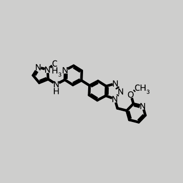 COc1ncccc1Cn1nnc2cc(-c3ccnc(Nc4ccnn4C)c3)ccc21